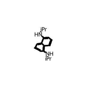 CC(C)Nc1cccc2c(NC(C)C)cccc12